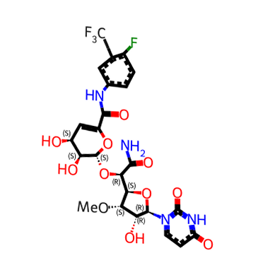 CO[C@H]1[C@@H](O)[C@H](n2ccc(=O)[nH]c2=O)O[C@@H]1[C@@H](O[C@H]1OC(C(=O)Nc2ccc(F)c(C(F)(F)F)c2)=C[C@H](O)[C@@H]1O)C(N)=O